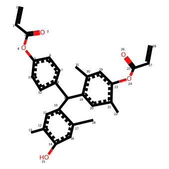 C=CC(=O)Oc1ccc(C(c2cc(C)c(O)cc2C)c2cc(C)c(OC(=O)C=C)cc2C)cc1